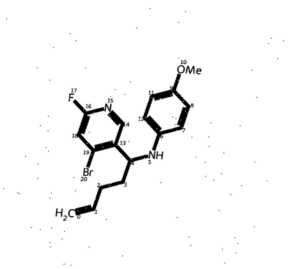 C=CCCC(Nc1ccc(OC)cc1)c1cnc(F)cc1Br